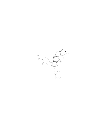 C=CC(=O)N1C[C@H](C)N(c2nc(N3CC(NC)C3)nc3c(F)c(-c4c(O)cccc4F)c(Cl)cc23)C[C@H]1C